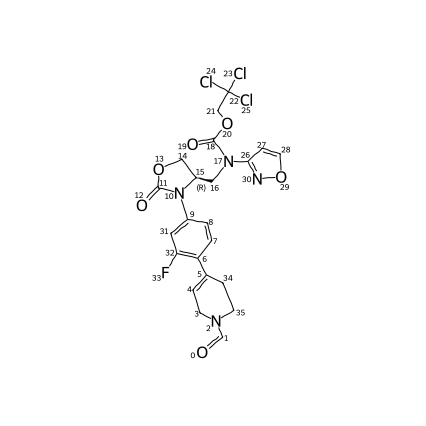 O=CN1CC=C(c2ccc(N3C(=O)OC[C@H]3CN(C(=O)OCC(Cl)(Cl)Cl)c3ccon3)cc2F)CC1